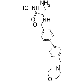 NC[C@H](NC(=O)c1ccc(-c2ccc(CN3CCOCC3)cc2)cc1)C(=O)NO